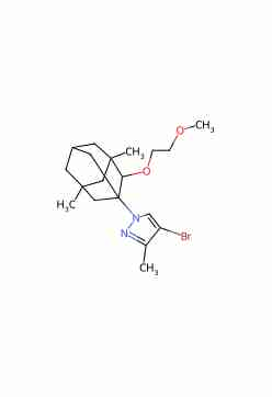 COCCOC1C2(C)CC3CC(C)(C2)CC1(n1cc(Br)c(C)n1)C3